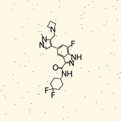 Cn1ncc(-c2cc(F)c3[nH]nc(C(=O)NC4CCC(F)(F)CC4)c3c2)c1CN1CCC1